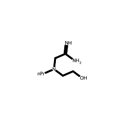 CCCN(CCO)CC(=N)N